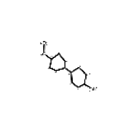 CCCC1CCC(C2CCC(OCC)CC2)CC1